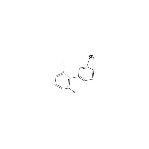 Fc1cccc(F)c1-c1cccc(C(F)(F)F)c1